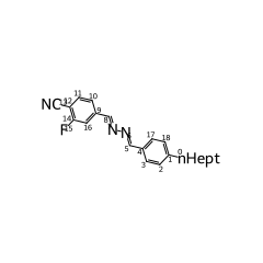 CCCCCCCc1ccc(C=NN=Cc2ccc(C#N)c(F)c2)cc1